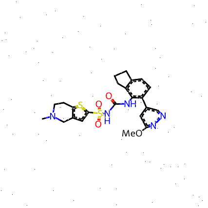 COc1cc(-c2ccc3c(c2NC(=O)NS(=O)(=O)c2cc4c(s2)CCN(C)C4)CCC3)cnn1